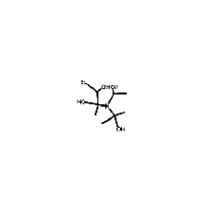 CCC(O)C(C)(O)N(C(C)O)C(C)(C)O